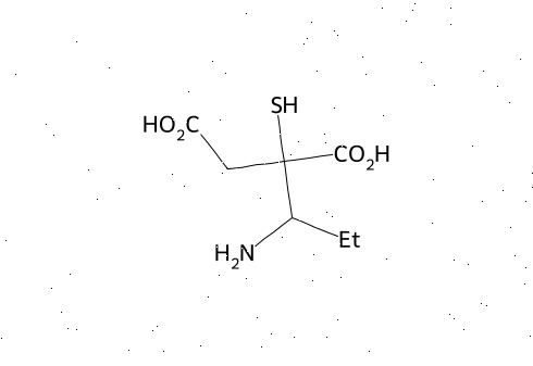 CCC(N)C(S)(CC(=O)O)C(=O)O